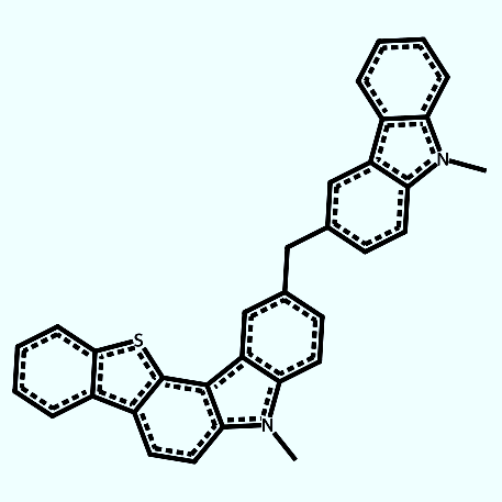 Cn1c2ccccc2c2cc(Cc3ccc4c(c3)c3c5sc6ccccc6c5ccc3n4C)ccc21